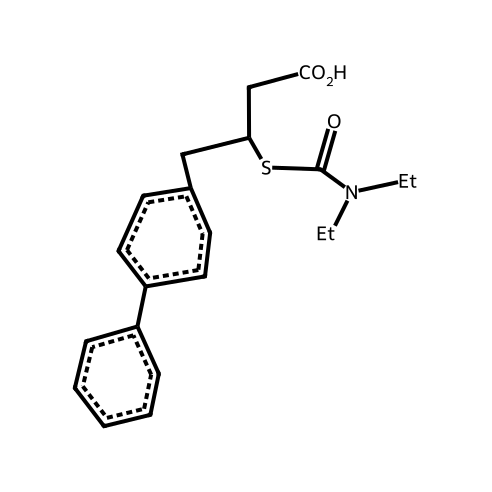 CCN(CC)C(=O)SC(CC(=O)O)Cc1ccc(-c2ccccc2)cc1